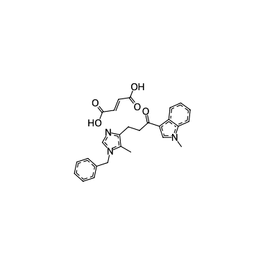 Cc1c(CCC(=O)c2cn(C)c3ccccc23)ncn1Cc1ccccc1.O=C(O)C=CC(=O)O